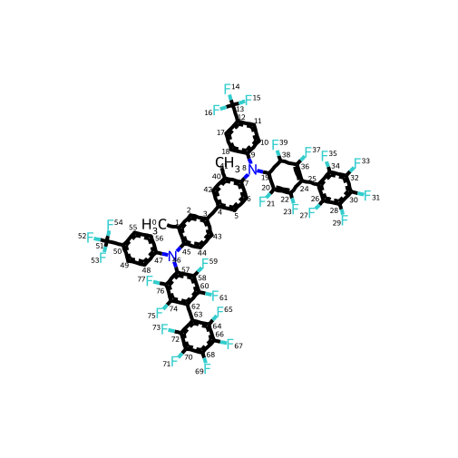 Cc1cc(-c2ccc(N(c3ccc(C(F)(F)F)cc3)C3C(F)=C(F)C(c4c(F)c(F)c(F)c(F)c4F)=C(F)C3F)c(C)c2)ccc1N(c1ccc(C(F)(F)F)cc1)c1c(F)c(F)c(-c2c(F)c(F)c(F)c(F)c2F)c(F)c1F